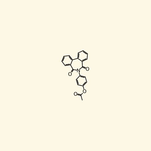 CC(=O)Oc1ccc(-n2c(=O)c3ccccc3c3ccccc3c2=O)cc1